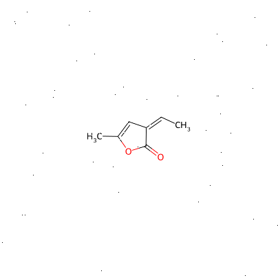 CC=C1C=C(C)OC1=O